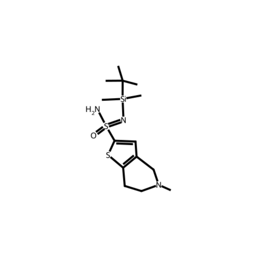 CN1CCc2sc(S(N)(=O)=N[Si](C)(C)C(C)(C)C)cc2C1